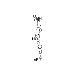 CCCCOCCOCc1ccc(OCC(O)CNCCOc2ccc(C3=NNC(=O)CC3)cc2C)cc1